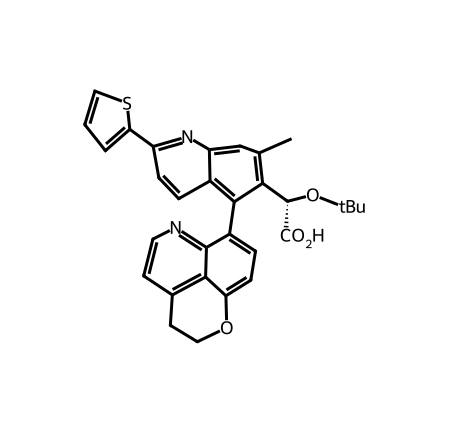 Cc1cc2nc(-c3cccs3)ccc2c(-c2ccc3c4c(ccnc24)CCO3)c1[C@H](OC(C)(C)C)C(=O)O